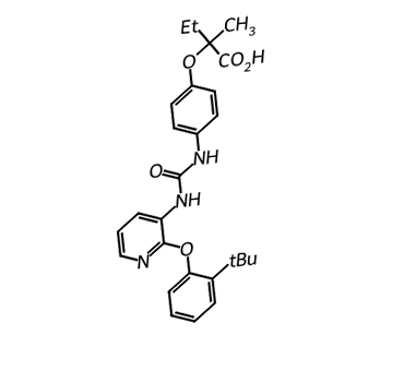 CCC(C)(Oc1ccc(NC(=O)Nc2cccnc2Oc2ccccc2C(C)(C)C)cc1)C(=O)O